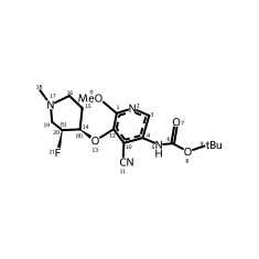 COc1ncc(NC(=O)OC(C)(C)C)c(C#N)c1O[C@@H]1CCN(C)C[C@@H]1F